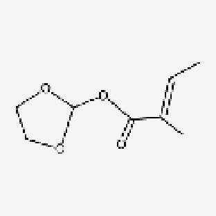 CC=C(C)C(=O)OC1OCCO1